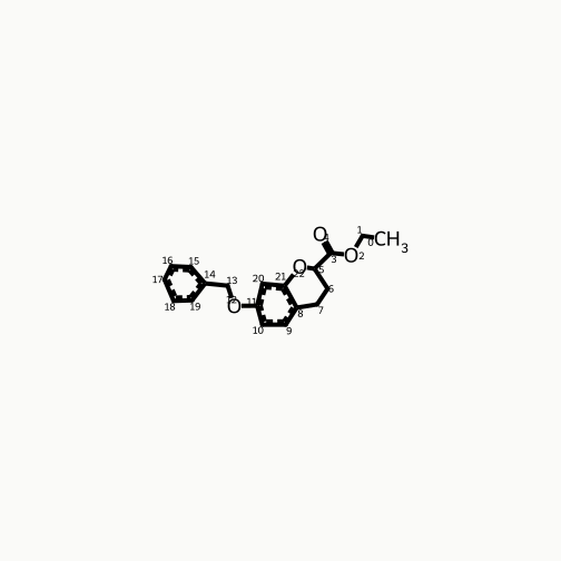 CCOC(=O)C1CCc2ccc(OCc3ccccc3)cc2O1